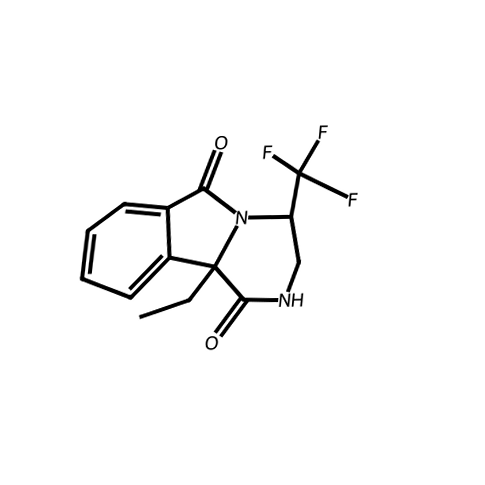 CCC12C(=O)NCC(C(F)(F)F)N1C(=O)c1ccccc12